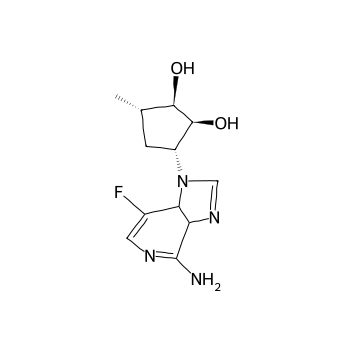 C[C@H]1C[C@@H](N2C=NC3C(N)=NC=C(F)C32)[C@H](O)[C@@H]1O